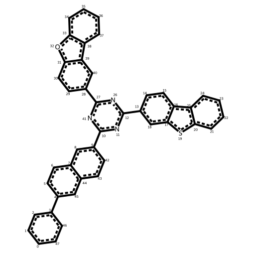 c1ccc(-c2ccc3cc(-c4nc(-c5ccc6c(c5)sc5ccccc56)nc(-c5ccc6oc7ccccc7c6c5)n4)ccc3c2)cc1